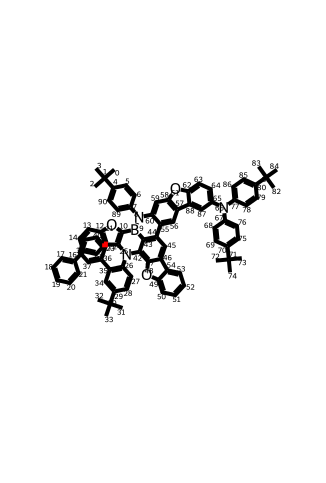 CC(C)(C)c1ccc(N2B3c4oc5ccc(-c6ccccc6)cc5c4N(c4ccc(C(C)(C)C)cc4-c4ccccc4)c4c3c(cc3c4oc4ccccc43)-c3cc4c(cc32)oc2ccc(N(c3ccc(C(C)(C)C)cc3)c3ccc(C(C)(C)C)cc3)cc24)cc1